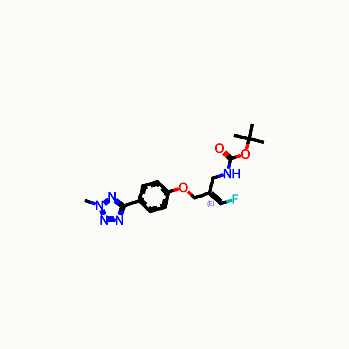 Cn1nnc(-c2ccc(OC/C(=C/F)CNC(=O)OC(C)(C)C)cc2)n1